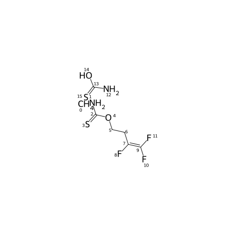 C.NC(=S)OCCC(F)=C(F)F.NC(O)=S